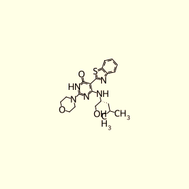 CC(C)C[C@H](CO)Nc1nc(N2CCOCC2)[nH]c(=O)c1-c1nc2ccccc2s1